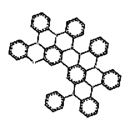 c1ccc(N2c3ccccc3B3c4ccccc4N4c5ccccc5B5c6c(cc2c3c64)-c2cc3c4c6c2N5c2ccccc2N6c2ccccc2B4c2ccccc2O3)cc1